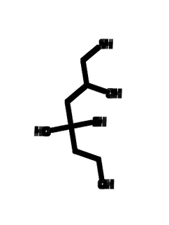 OCCC(O)(S)CC(O)CS